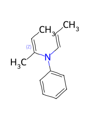 CC=CN(/C(C)=C\C)c1ccccc1